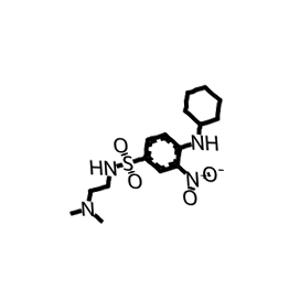 CN(C)CCNS(=O)(=O)c1ccc(NC2CCCCC2)c([N+](=O)[O-])c1